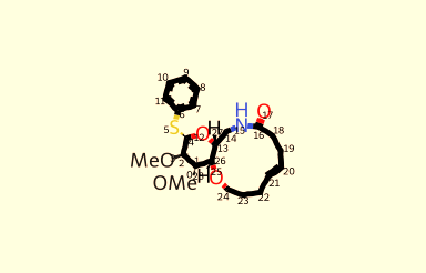 CO[C@@H]1[C@@H](OC)[C@H](Sc2ccccc2)O[C@@H]2CNC(=O)CC/C=C/CCCO[C@@H]12